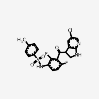 Cc1ccc(S(=O)(=O)Nc2ccc(F)c(C(=O)C3CNc4ncc(Cl)cc43)c2F)cc1